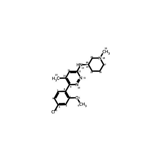 COc1cc(Cl)ccc1-c1nnc(N[C@@H]2CCCN(C)C2)cc1C